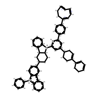 C1=CCCC(C2=CCC(c3cc(-c4ccc(/C5=C/C=C\C=C\CC5)cc4)nc(N4c5ccccc5C5CC(c6ccc7c(c6)c6ccccc6n7-c6ccccc6)CCC54)c3)CC2)=C1